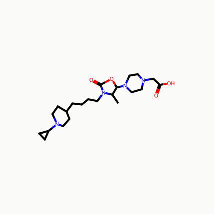 CC1C(N2CCN(CC(=O)O)CC2)OC(=O)N1CCCCC1CCN(C2CC2)CC1